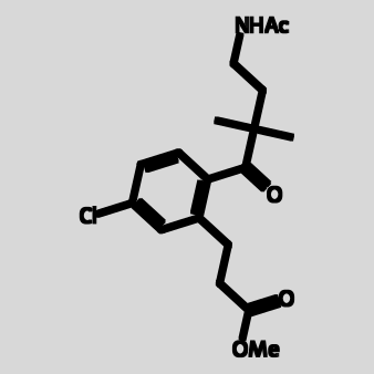 COC(=O)CCc1cc(Cl)ccc1C(=O)C(C)(C)CCNC(C)=O